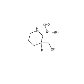 CC(C)(C)OC=O.OCC1(F)CCCNC1